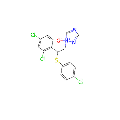 [O-][N+]1(CC(Sc2ccc(Cl)cc2)c2ccc(Cl)cc2Cl)C=NC=N1